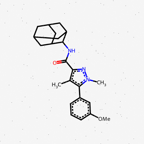 COc1cccc(-c2c(C)c(C(=O)NC3C4CC5CC(C4)CC3C5)nn2C)c1